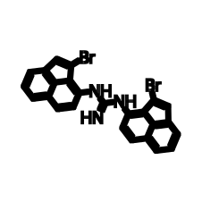 N=C(Nc1ccc2cccc3c2c1C(Br)=C3)Nc1ccc2cccc3c2c1C(Br)=C3